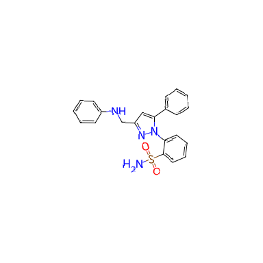 NS(=O)(=O)c1ccccc1-n1nc(CNc2ccccc2)cc1-c1ccccc1